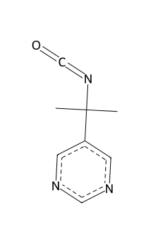 CC(C)(N=C=O)c1cncnc1